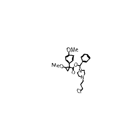 COc1ccc(C2(C(=O)OC(c3ccccc3)N3CCN(CCCCl)CC3)CC2OC)cc1